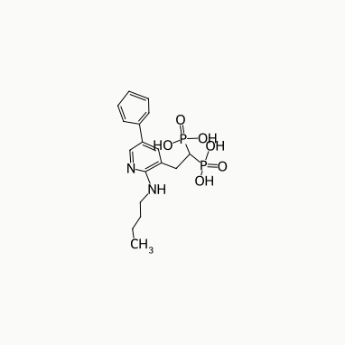 CCCCNc1ncc(-c2ccccc2)cc1CC(P(=O)(O)O)P(=O)(O)O